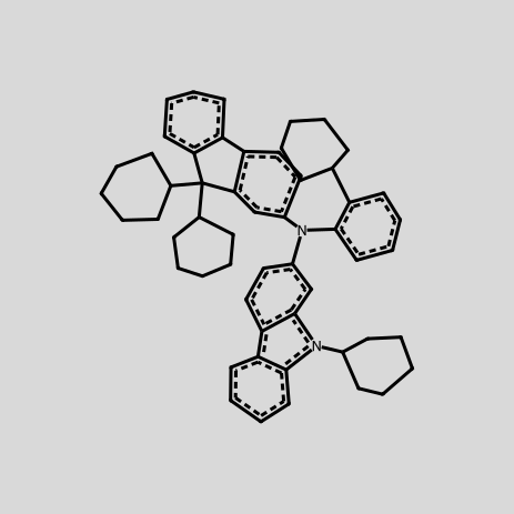 c1ccc2c(c1)-c1ccc(N(c3ccc4c5ccccc5n(C5CCCCC5)c4c3)c3ccccc3C3CCCCC3)cc1C2(C1CCCCC1)C1CCCCC1